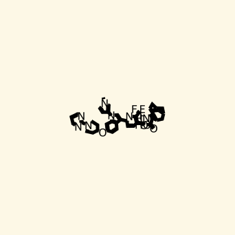 Cn1ccc(-n2cc(-c3ccc(C(=O)NC4(C(=O)O)C5CC6CC7CC4C7(C6)C5)c(C(F)(F)F)n3)c3ccc(OC4CCN(c5ncccn5)CC4)cc32)c1